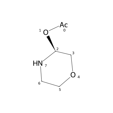 CC(=O)O[C@H]1COCCN1